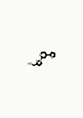 OCc1ccn(-c2cc(-c3cccs3)ccn2)n1